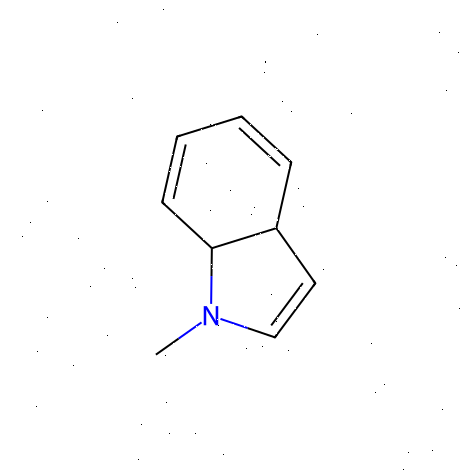 CN1C=CC2C=CC=CC21